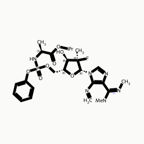 C=Nc1c(/C(=N\C)NC)ncn1[C@@H]1O[C@H](COP(=O)(N[C@@H](C)C(=O)OC(C)C)Oc2ccccc2)[C@@H](O)[C@@]1(C)F